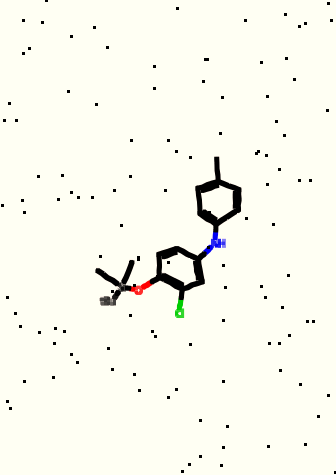 Cc1ccc(Nc2ccc(O[Si](C)(C)C(C)(C)C)c(Cl)c2)cc1